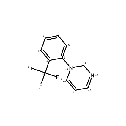 FC(F)(F)c1ccccc1N1C=CC=NC1